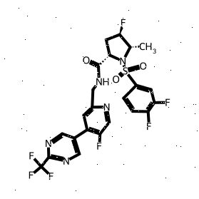 C[C@H]1[C@H](F)C[C@@H](C(=O)NCc2cc(-c3cnc(C(F)(F)F)nc3)c(F)cn2)N1S(=O)(=O)c1ccc(F)c(F)c1